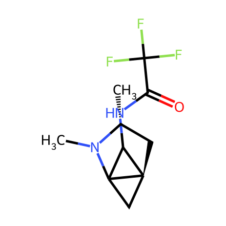 C[C@@H]1C[C@@]23CC2(C3NC(=O)C(F)(F)F)N1C